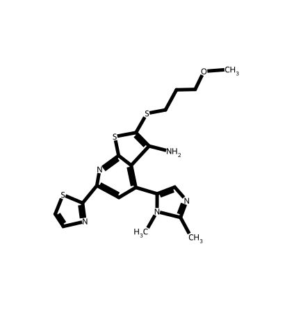 COCCCSc1sc2nc(-c3nccs3)cc(-c3cnc(C)n3C)c2c1N